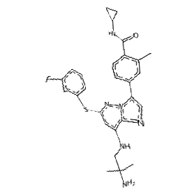 Cc1cc(-c2cnc3c(NCC(C)(C)N)cc(Sc4cccc(F)c4)nn23)ccc1C(=O)NC1CC1